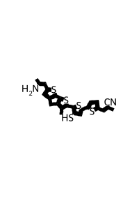 C/C(N)=C/c1cc2c(s1)-c1sc(-c3sc(-c4ccc(/C=C(/C)C#N)s4)cc3S)c(C)c1C2